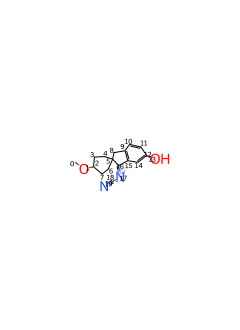 COC1CCC2(CC1)Cc1ccc(O)cc1/C2=N/C#N